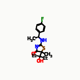 CCC(O)(CC)C1(C)SC(N[C@@H](C)c2ccc(F)cc2)=NC1=O